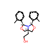 Cc1ccccc1[C@H]1OC[C@]2(CCO)CO[C@@H](c3ccccc3C)N12